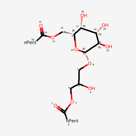 CCCCCC(=O)OCC(O)CO[C@@H]1O[C@H](COC(=O)CCCCC)[C@H](O)[C@H](O)[C@H]1O